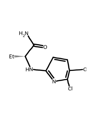 CC[C@@H](Nc1ccc(C#N)c(Cl)n1)C(N)=O